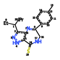 CCC(c1n[nH]c2c1N=C(c1ccc(C)cc1)CNC2=S)C(C)C